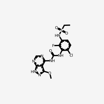 CCS(=O)(=O)Nc1ccc(Cl)c(NC(=O)Nc2ncnc3[nH]nc(OC)c23)c1F